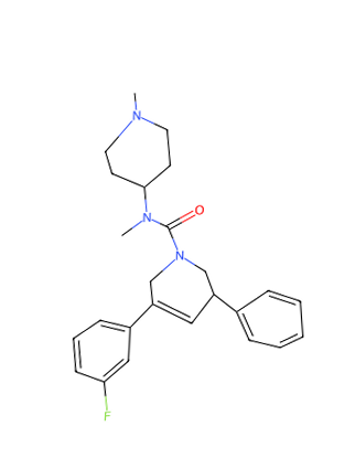 CN1CCC(N(C)C(=O)N2CC(c3cccc(F)c3)=CC(c3ccccc3)C2)CC1